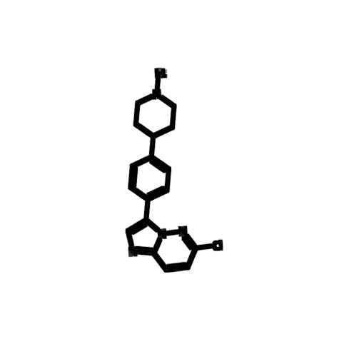 CCN1CCC(c2ccc(-c3cnc4ccc(Cl)nn34)cc2)CC1